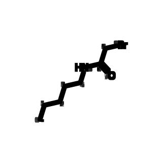 [CH2]CCCCNC(=O)CBr